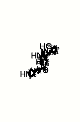 O=C(C1CN(C2CCNCC2)C1)N1CCN2c3cc(-c4ccccc4O)nnc3NC[C@H]2C1